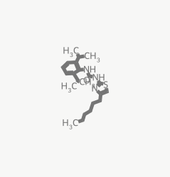 CCCCCCc1csc(NC(=O)Nc2c(C(C)C)cccc2C(C)C)n1